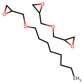 C(OCC1CO1)C1CO1.CCCCCCCCOCC1CO1